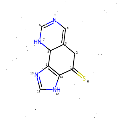 S=C1CC2=CN=CNC2c2nc[nH]c21